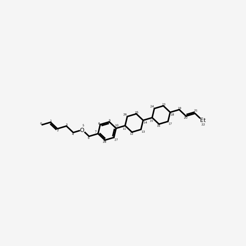 CC=CCCOCc1ccc(C2CCC(C3CCC(CC=CCC)CC3)CC2)cc1